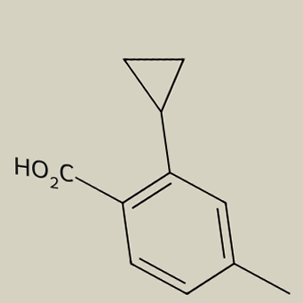 Cc1ccc(C(=O)O)c(C2CC2)c1